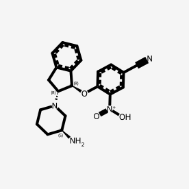 N#Cc1ccc(O[C@@H]2c3ccccc3C[C@H]2N2CCC[C@H](N)C2)c([N+](=O)O)c1